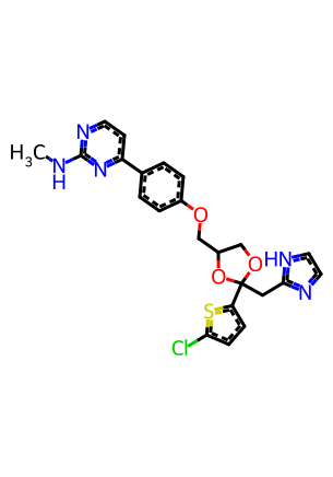 CNc1nccc(-c2ccc(OCC3COC(Cc4ncc[nH]4)(c4ccc(Cl)s4)O3)cc2)n1